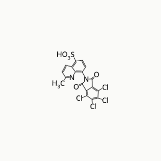 Cc1ccc2c(S(=O)(=O)O)ccc(N3C(=O)c4c(Cl)c(Cl)c(Cl)c(Cl)c4C3=O)c2n1